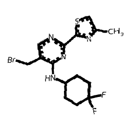 Cc1csc(-c2ncc(CBr)c(NC3CCC(F)(F)CC3)n2)n1